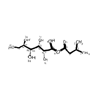 CC(C)CC(=O)OC(O)[C@H](O)[C@@H](O)[C@H](O)[C@H](O)CO